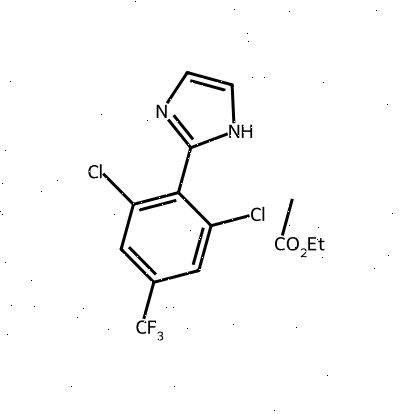 CCOC(C)=O.FC(F)(F)c1cc(Cl)c(-c2ncc[nH]2)c(Cl)c1